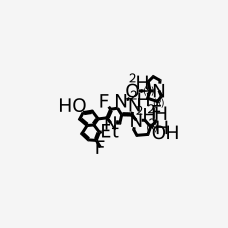 [2H]C([2H])([2H])[C@@]1(O)CCCN(c2nc(OC([2H])([2H])[C@@]34CCCN3C[C@H](F)C4)nc3c(F)c(-c4cc(O)cc5ccc(F)c(CC)c45)ncc23)C1